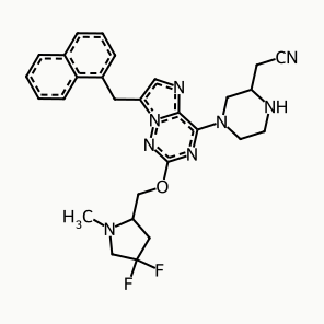 CN1CC(F)(F)CC1COc1nc(N2CCNC(CC#N)C2)c2ncc(Cc3cccc4ccccc34)n2n1